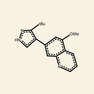 COc1cc(-c2c[nH]nc2C(C)(C)C)cc2ncccc12